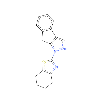 c1ccc2c(c1)Cc1c-2c[nH][n+]1-c1nc2c(s1)CCCC2